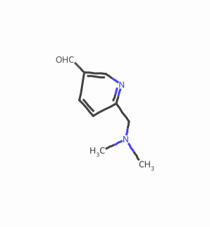 CN(C)Cc1ccc(C=O)cn1